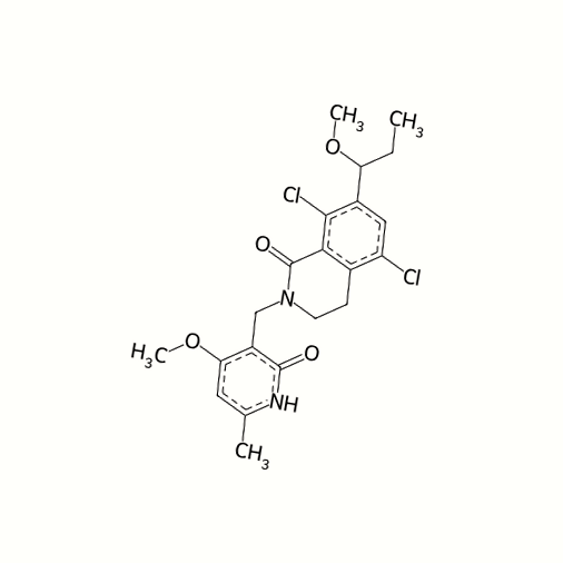 CCC(OC)c1cc(Cl)c2c(c1Cl)C(=O)N(Cc1c(OC)cc(C)[nH]c1=O)CC2